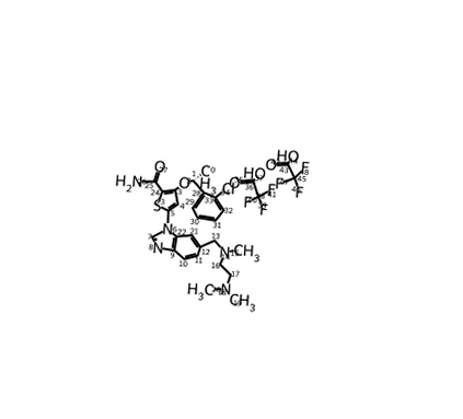 C[C@@H](Oc1cc(-n2cnc3ccc(CN(C)CCN(C)C)cc32)sc1C(N)=O)c1ccccc1Cl.O=C(O)C(F)(F)F.O=C(O)C(F)(F)F